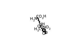 CC(OC(=O)NCCCC[C@H](N)C(=O)O)c1cc2c(cc1[N+](=O)[O-])OCO2